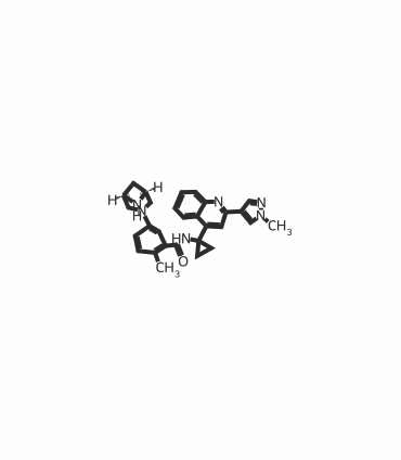 Cc1ccc(N2C[C@H]3C[C@@H](C2)N3)cc1C(=O)NC1(c2cc(-c3cnn(C)c3)nc3ccccc23)CC1